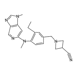 CCc1cc(CN2CC(C#N)C2)ccc1N(C)c1cc2c(cn1)ncn2C